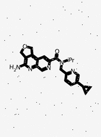 CC(C)N(Cc1ccc(C2CC2)cn1)C(=O)c1cc2c3c(c(N)nc2cn1)COC3